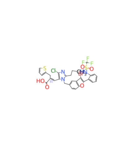 CCCc1nc(Cl)c(/C=C(\Cc2cccs2)C(=O)O)n1Cc1ccc2oc(-c3ccccc3NS(=O)(=O)C(F)(F)F)c(Br)c2c1